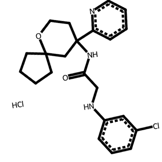 Cl.O=C(CNc1cccc(Cl)c1)NC1(c2ccccn2)CCOC2(CCCC2)C1